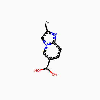 CC(C)c1cn2cc(B(O)O)ccc2n1